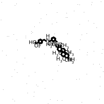 CCCC1(C(=O)NCc2cccc(C(=O)NCCc3ccc(C(=O)O)c(F)c3)c2)CC[C@]2(C)C(CCC3C4(C)CCC(O)C(C)(C)C4CCC32C)C1C